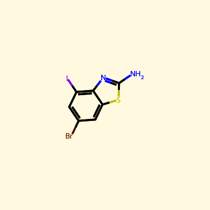 Nc1nc2c(I)cc(Br)cc2s1